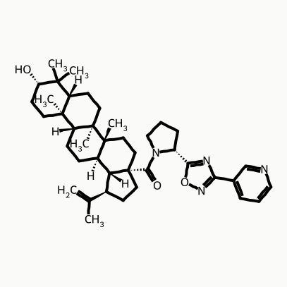 C=C(C)[C@@H]1CC[C@]2(C(=O)N3CCC[C@@H]3c3nc(-c4cccnc4)no3)CC[C@]3(C)[C@H](CC[C@@H]4[C@@]5(C)CC[C@H](O)C(C)(C)[C@@H]5CC[C@]43C)[C@@H]12